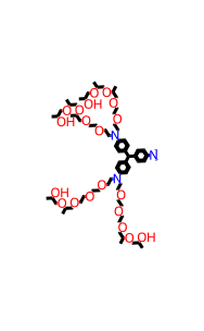 CC(O)COC(C)COCCOCCOCCN(CCOCCOCCOCC(C)OCC(C)O)c1ccc(C(c2ccc(N(C)C)cc2)c2ccc(N(CCOCCOCC(C)OCC(C)OCC(C)O)CCOCCOCC(C)OCC(C)OCC(C)O)cc2)cc1